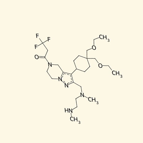 CCOCC1(COCC)CCC(c2c(CN(C)CCNC)nn3c2CN(C(=O)CC(F)(F)F)CC3)CC1